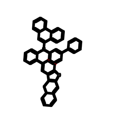 C1=CC2=Cc3oc4ccc(-c5ccccc5N(c5cccc(-c6ccccc6)c5)c5cc6ccccc6c6ccccc56)cc4c3CC2C=C1